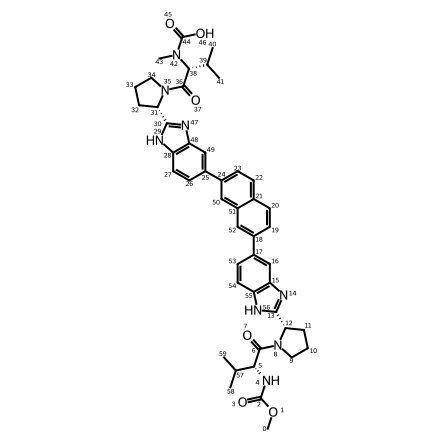 COC(=O)N[C@@H](C(=O)N1CCC[C@H]1c1nc2cc(-c3ccc4ccc(-c5ccc6[nH]c([C@@H]7CCCN7C(=O)[C@@H](C(C)C)N(C)C(=O)O)nc6c5)cc4c3)ccc2[nH]1)C(C)C